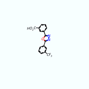 O=C(O)c1cccc(-c2nnc(-c3cccc(C(F)(F)F)c3)o2)c1